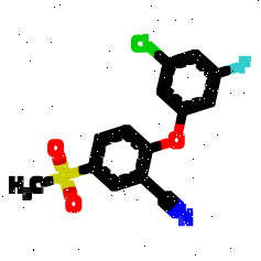 CS(=O)(=O)c1ccc(Oc2cc(F)cc(Cl)c2)c(C#N)c1